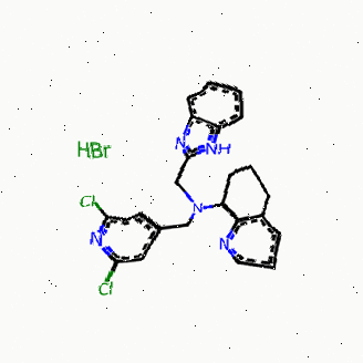 Br.Clc1cc(CN(Cc2nc3ccccc3[nH]2)C2CCCc3cccnc32)cc(Cl)n1